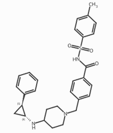 Cc1ccc(S(=O)(=O)NC(=O)c2ccc(CN3CCC(N[C@@H]4C[C@H]4c4ccccc4)CC3)cc2)cc1